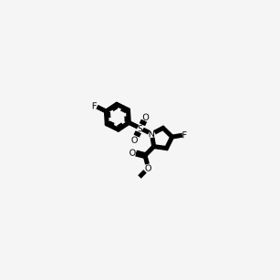 COC(=O)C1CC(F)CN1S(=O)(=O)c1ccc(F)cc1